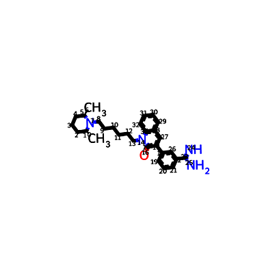 C[C@@H]1CCC[C@H](C)N1CCCCCCn1c(=O)c(-c2cccc(C(=N)N)c2)cc2ccccc21